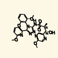 COc1cnc([C@@H](O)[C@H](C)S(=O)(=O)Nc2nnc(-c3cccc(OC)n3)n2-c2c(OC)cccc2OC)cn1